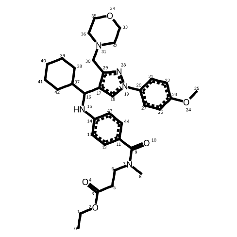 CCOC(=O)CCN(C)C(=O)c1ccc(NC(c2cn(-c3ccc(OC)cc3)nc2CN2CCOCC2)C2CCCCC2)cc1